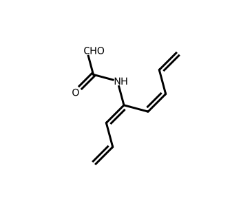 C=C/C=C\C(=C/C=C)NC(=O)C=O